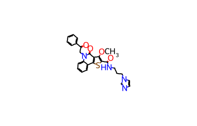 COc1c(C(=O)NCCCn2ccnc2)sc2c1c(=O)n(CC(=O)c1ccccc1)c1ccccc21